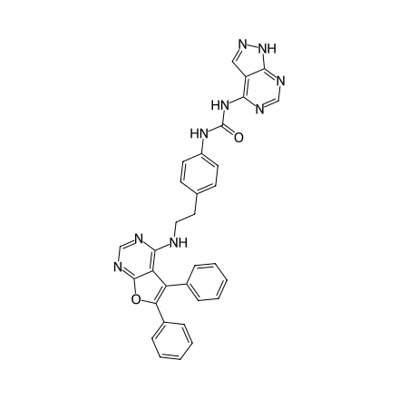 O=C(Nc1ccc(CCNc2ncnc3oc(-c4ccccc4)c(-c4ccccc4)c23)cc1)Nc1ncnc2[nH]ncc12